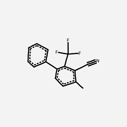 Cc1ccc(-c2ccccc2)c(C(F)(F)F)c1C#N